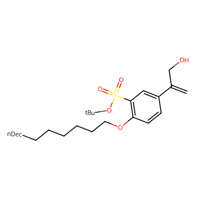 C=C(CO)c1ccc(OCCCCCCCCCCCCCCCC)c(S(=O)(=O)OC(C)(C)C)c1